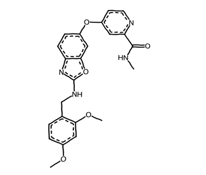 CNC(=O)c1cc(Oc2ccc3nc(NCc4ccc(OC)cc4OC)oc3c2)ccn1